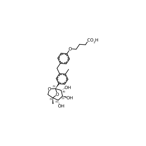 Cc1ccc([C@]23OC[C@](C)(O2)[C@@H](O)[C@H](O)[C@H]3O)cc1Cc1ccc(OCCCC(=O)O)cc1